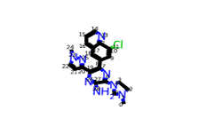 CN1CCN(c2nc(-c3cc(Cl)c4ncccc4c3)c(-c3ccn(C)n3)nc2N)C1